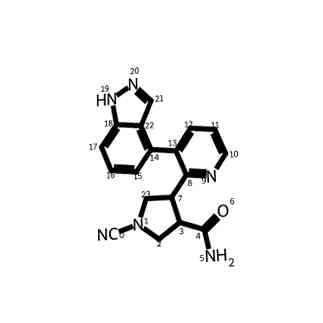 N#CN1CC(C(N)=O)C(c2ncccc2-c2cccc3[nH]ncc23)C1